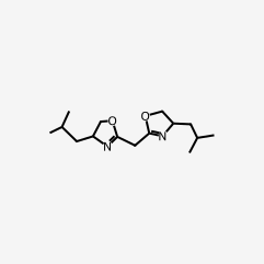 CC(C)CC1COC(CC2=NC(CC(C)C)CO2)=N1